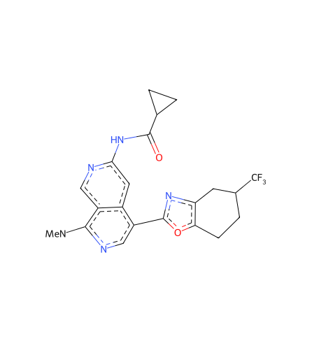 CNc1ncc(-c2nc3c(o2)CCC(C(F)(F)F)C3)c2cc(NC(=O)C3CC3)ncc12